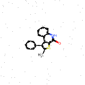 Cc1sc2c(=O)[nH]c3ccccc3c2c1-c1ccccc1